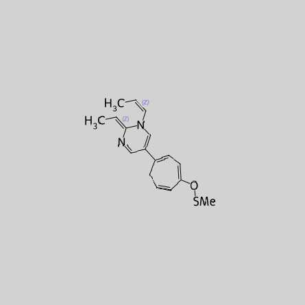 C/C=C\N1C=C(C2=CC=C(OSC)C=CC2)C=N/C1=C\C